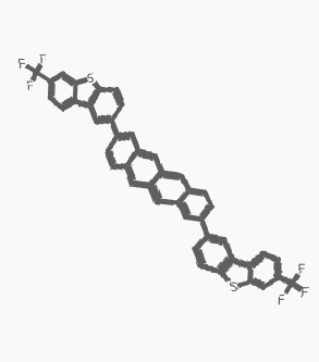 FC(F)(F)c1ccc2c(c1)sc1ccc(-c3ccc4cc5cc6cc(-c7ccc8sc9cc(C(F)(F)F)ccc9c8c7)ccc6cc5cc4c3)cc12